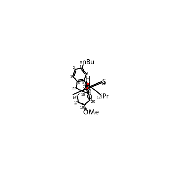 CCCCc1ccc2c(c1)C1(NC(=S)N(C(C)C)C1=O)[C@]1(CC[C@H](OC)CC1)C2